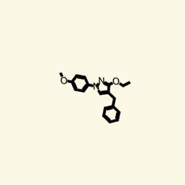 CCOc1nn(-c2ccc(OC)cc2)cc1Cc1ccccc1